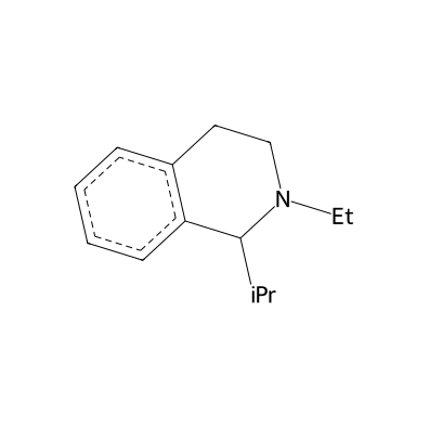 CCN1CCc2ccccc2C1C(C)C